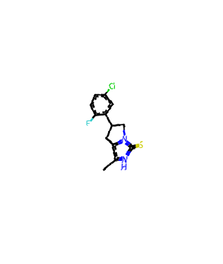 Cc1[nH]c(=S)n2c1CC(c1cc(Cl)ccc1F)C2